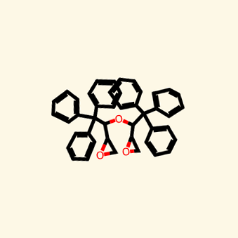 c1ccc(C(c2ccccc2)(c2ccccc2)C(OC(C2CO2)C(c2ccccc2)(c2ccccc2)c2ccccc2)C2CO2)cc1